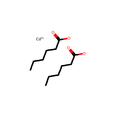 CCCCCC(=O)[O-].CCCCCC(=O)[O-].[Cd+2]